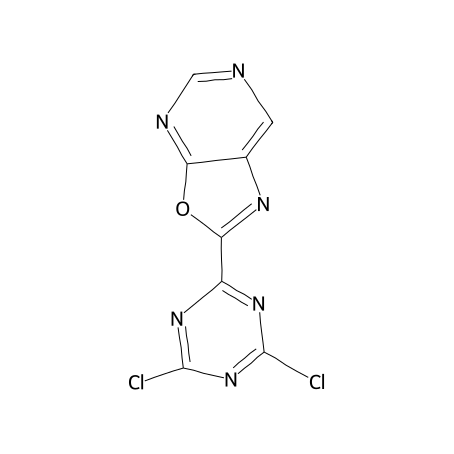 Clc1nc(Cl)nc(-c2nc3cncnc3o2)n1